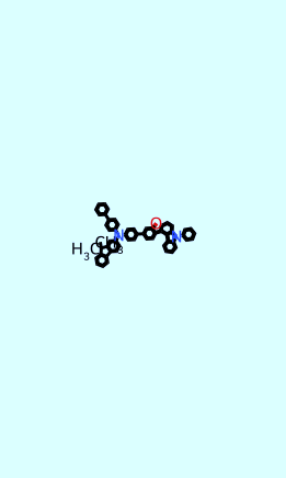 CC1(C)c2ccccc2-c2ccc(N(c3ccc(-c4ccccc4)cc3)c3ccc(-c4ccc5c(c4)oc4ccc6c(c7ccccc7n6-c6ccccc6)c45)cc3)cc21